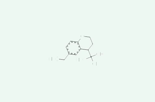 CCc1ccc2c(c1)C(C(C)(C)C)CCO2